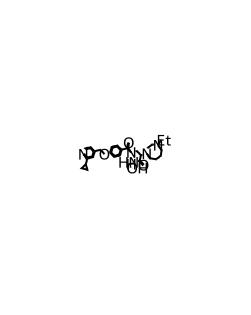 CCN1CCCCN(C(CNC(=O)c2ccc(OCc3ccnc(C4CC4)c3)cc2)C(=O)NO)CC1